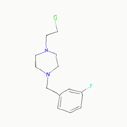 Fc1cccc(CN2CCN(CCCl)CC2)c1